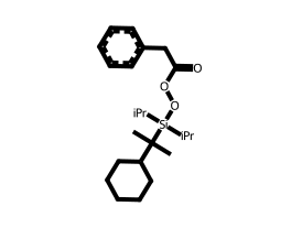 CC(C)[Si](OOC(=O)Cc1ccccc1)(C(C)C)C(C)(C)C1CCCCC1